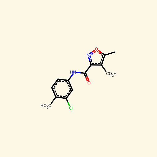 Cc1onc(C(=O)Nc2ccc(C(=O)O)c(Cl)c2)c1C(=O)O